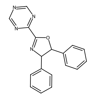 c1ccc(C2N=C(c3ncncn3)OC2c2ccccc2)cc1